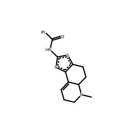 CC(C)C(=O)Nc1nc2c(s1)CCC1C2=CCCN1C